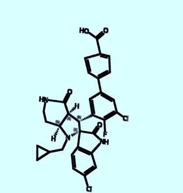 O=C(O)c1ccc(-c2cc(Cl)c(F)c([C@H]3[C@@H]4C(=O)NCC[C@@H]4N(CC4CC4)[C@@]34C(=O)Nc3cc(Cl)ccc34)c2)cc1